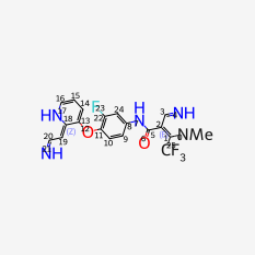 CN/C(=C(\C=N)C(=O)Nc1ccc(OC2=CC=CN/C2=C\C=N)c(F)c1)C(F)(F)F